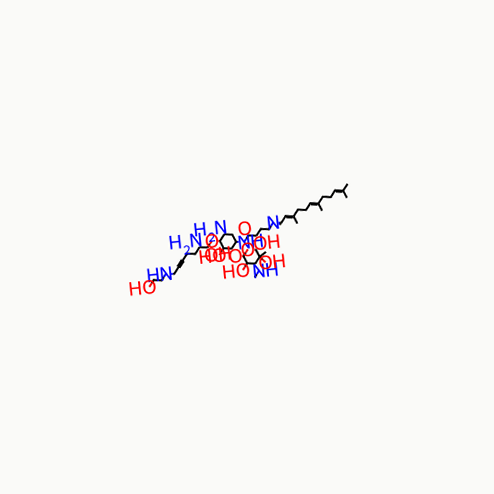 CNC1C(O)C(OC2C(NC(=O)C(O)CC/N=C/C=C(\C)CC/C=C(\C)CCC=C(C)C)CC(N)C(OC(O)C(N)CCC#CCNCCO)C2O)OCC1(C)O